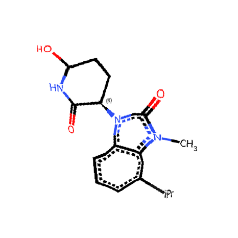 CC(C)c1cccc2c1n(C)c(=O)n2[C@@H]1CCC(O)NC1=O